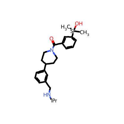 CC(C)NCc1cccc(C2CCN(C(=O)c3cccc([Si](C)(C)O)c3)CC2)c1